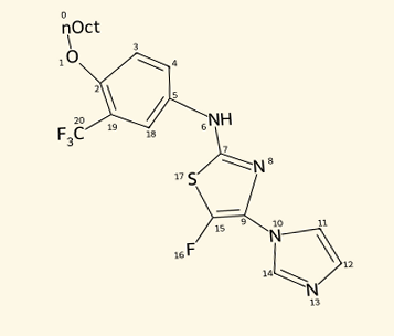 CCCCCCCCOc1ccc(Nc2nc(-n3ccnc3)c(F)s2)cc1C(F)(F)F